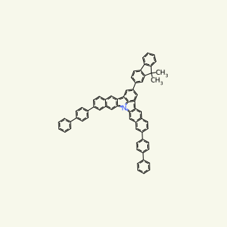 CC1(C)c2ccccc2-c2ccc(-c3cc4c5cc6ccc(-c7ccc(-c8ccccc8)cc7)cc6cc5n5c6cc7cc(-c8ccc(-c9ccccc9)cc8)ccc7cc6c(c3)c45)cc21